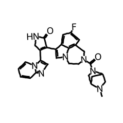 CN1CC2CC1CN2C(=O)N1CCn2cc(C3=C(c4cnc5ccccn45)CNC3=O)c3cc(F)cc(c32)C1